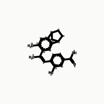 C/C(=C/c1ccc(C(=O)O)cc1O)c1cc2c(cc1C)C1CCC2C1